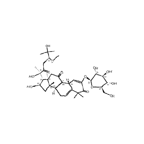 CO[C@@H](CC(=O)[C@](C)(O)[C@H]1[C@H](O)C[C@@]2(C)[C@@H]3CC=C4[C@@H](C=C(O[C@@H]5O[C@H](CO)[C@@H](O)[C@H](O)[C@H]5O)C(=O)C4(C)C)[C@]3(C)C(=O)C[C@]12C)C(C)(C)O